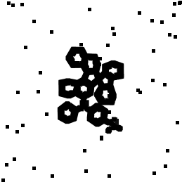 C[Si](C)(C)c1ccc(N(c2ccccc2)c2cc3c(c4ccccc24)-c2c(ccc4ccccc24)C32c3ccccc3-c3ccccc32)cc1